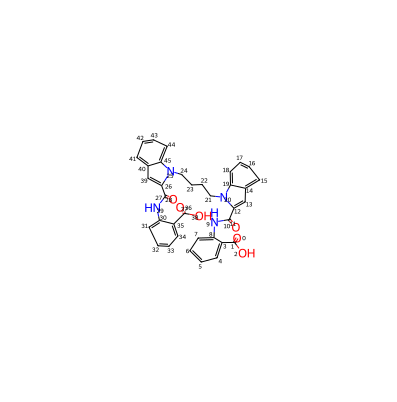 O=C(O)c1ccccc1NC(=O)c1cc2ccccc2n1CCCCn1c(C(=O)Nc2ccccc2C(=O)O)cc2ccccc21